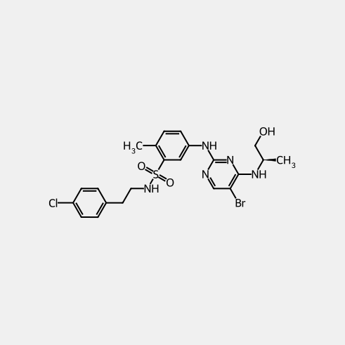 Cc1ccc(Nc2ncc(Br)c(N[C@H](C)CO)n2)cc1S(=O)(=O)NCCc1ccc(Cl)cc1